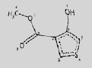 COC(=O)c1cscc1O